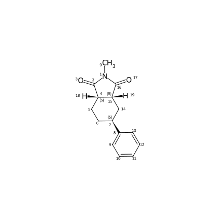 CN1C(=O)[C@H]2CC[C@H](c3ccccc3)C[C@H]2C1=O